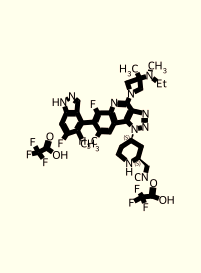 CCN(C)C1(C)CN(c2nc3c(F)c(-c4c(C)c(F)cc5[nH]ncc45)c(C)cc3c3c2nnn3[C@H]2CCN[C@H](CC#N)C2)C1.O=C(O)C(F)(F)F.O=C(O)C(F)(F)F